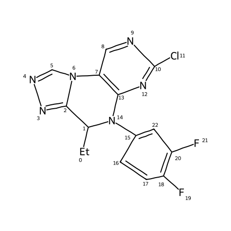 CCC1c2nncn2-c2cnc(Cl)nc2N1c1ccc(F)c(F)c1